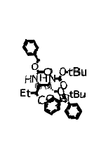 CCC(C(=O)O)[C@@H](NC(=O)OCc1ccccc1)[C@@H](CO[Si](c1ccccc1)(c1ccccc1)C(C)(C)C)NC(=O)OC(C)(C)C